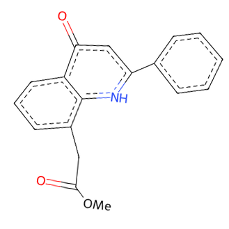 COC(=O)Cc1cccc2c(=O)cc(-c3ccccc3)[nH]c12